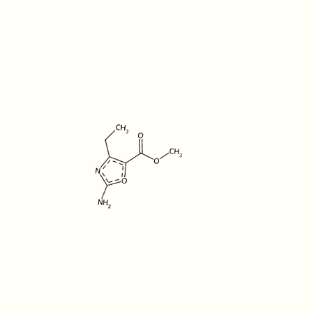 CCc1nc(N)oc1C(=O)OC